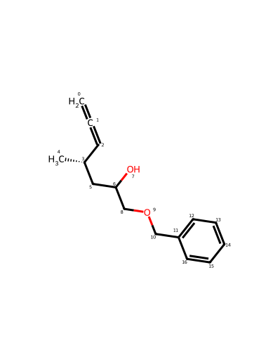 C=C=C[C@@H](C)CC(O)COCc1ccccc1